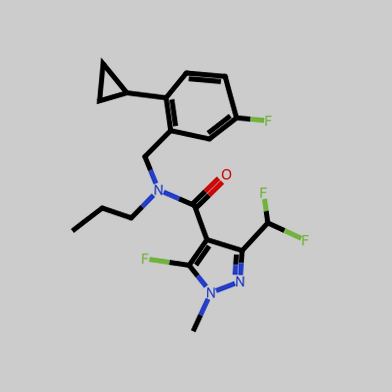 CCCN(Cc1cc(F)ccc1C1CC1)C(=O)c1c(C(F)F)nn(C)c1F